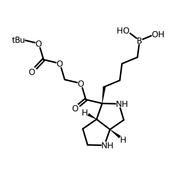 CC(C)(C)OC(=O)OCOC(=O)[C@]1(CCCCB(O)O)NC[C@@H]2NCC[C@@H]21